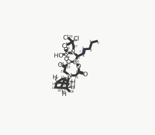 CCC/C=C/C(B1OC(=O)CN([C@@H]2C[C@@H]3C[C@H]([C@H]2C)C3(C)C)CC(=O)O1)N(CC(Cl)(Cl)Cl)S(=O)(=O)O